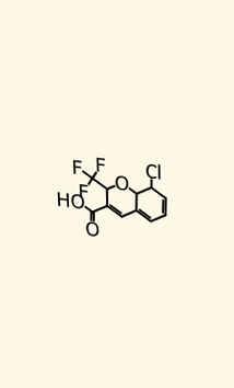 O=C(O)C1=CC2=CC=CC(Cl)C2OC1C(F)(F)F